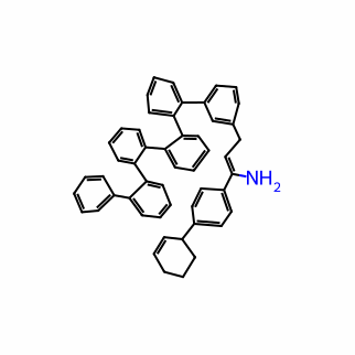 N/C(=C\Cc1cccc(-c2ccccc2-c2ccccc2-c2ccccc2-c2ccccc2-c2ccccc2)c1)c1ccc(C2C=CCCC2)cc1